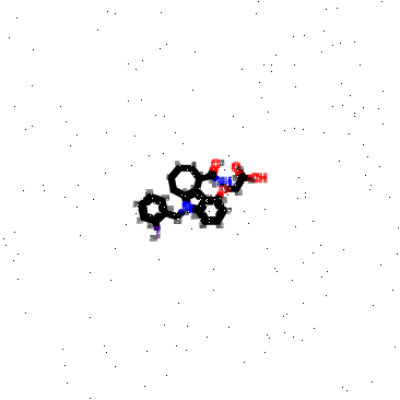 NC(=O)C1CCCCc2c1c1c(OCC(=O)O)cccc1n2Cc1ccccc1I